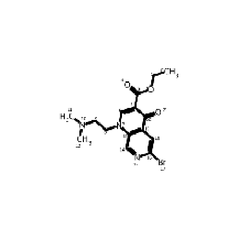 CCOC(=O)c1cn(CCN(C)C)c2cnc(Br)cc2c1=O